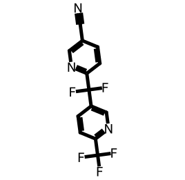 N#Cc1ccc(C(F)(F)c2ccc(C(F)(F)F)nc2)nc1